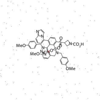 COc1ccc(CN(Cc2ccc(OC)cc2)S(=O)(=O)c2c(S(=O)(=O)C3CN(C(=O)O)C3)ccc(-c3cccc4nccn34)c2-c2nnnn2Cc2ccc(OC)cc2)cc1